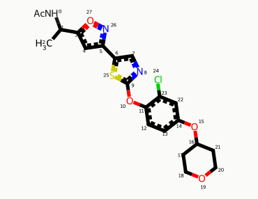 CC(=O)NC(C)c1cc(-c2cnc(Oc3ccc(OC4CCOCC4)cc3Cl)s2)no1